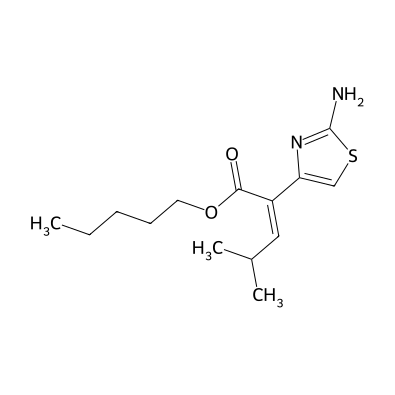 CCCCCOC(=O)/C(=C\C(C)C)c1csc(N)n1